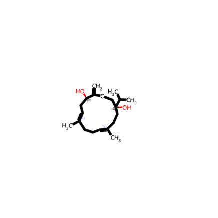 C=C1CC[C@](O)(C(C)C)CC/C(C)=C/CC/C(C)=C/C[C@H]1O